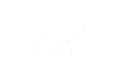 C=C(N)C(F)C(/N=C(/C)N)=C(/Cc1cccc(C(F)F)c1F)C1OCCO1